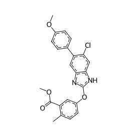 COC(=O)c1cc(Oc2nc3cc(-c4ccc(OC)cc4)c(Cl)cc3[nH]2)ccc1C